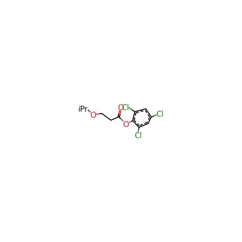 CC(C)OCCC(=O)Oc1c(Cl)cc(Cl)cc1Cl